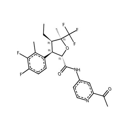 CC[C@@H]1[C@H](c2ccc(F)c(F)c2C)[C@@H](C(=O)Nc2ccnc(C(C)=O)c2)O[C@]1(C)C(F)(F)F